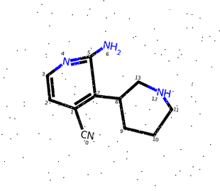 N#Cc1ccnc(N)c1C1CCCNC1